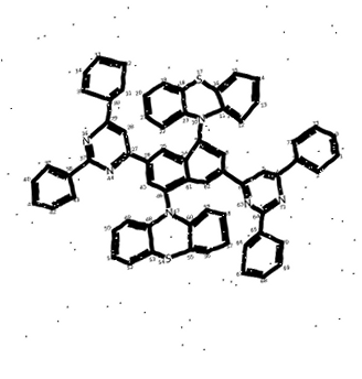 c1ccc(-c2cc(-c3cc(N4c5ccccc5Sc5ccccc54)c4cc(-c5cc(-c6ccccc6)nc(-c6ccccc6)n5)cc(N5c6ccccc6Sc6ccccc65)c4c3)nc(-c3ccccc3)n2)cc1